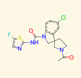 CC(=O)N1CCC2(C1)CN(C(=O)Nc1ncc(F)s1)c1ccc(Cl)cc12